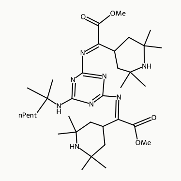 CCCCCC(C)(C)Nc1nc(N=C(C(=O)OC)C2CC(C)(C)NC(C)(C)C2)nc(N=C(C(=O)OC)C2CC(C)(C)NC(C)(C)C2)n1